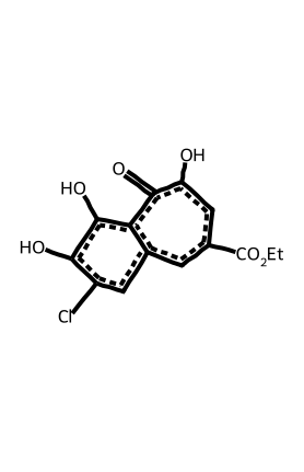 CCOC(=O)c1cc(O)c(=O)c2c(O)c(O)c(Cl)cc2c1